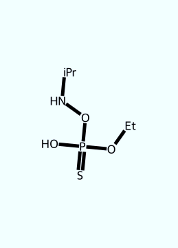 CCOP(O)(=S)ONC(C)C